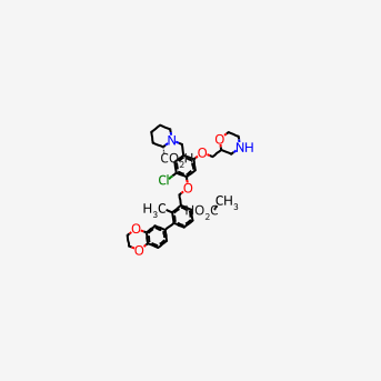 CC(=O)O.Cc1c(COc2cc(OCC3CNCCO3)c(CN3CCCC[C@H]3C(=O)O)cc2Cl)cccc1-c1ccc2c(c1)OCCO2